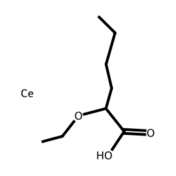 CCCCC(OCC)C(=O)O.[Ce]